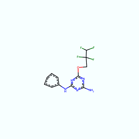 Nc1nc(Nc2ccccc2)nc(OCC(F)(F)C(F)F)n1